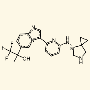 CC(O)(c1ccc2ncc(-c3cccc(N[C@H]4CNCC45CC5)n3)n2c1)C(F)(F)F